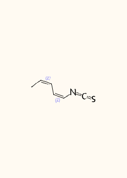 C/C=C\C=C/N=C=S